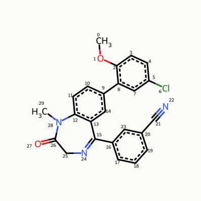 COc1ccc(Cl)cc1-c1ccc2c(c1)C(c1cccc(C#N)c1)=NCC(=O)N2C